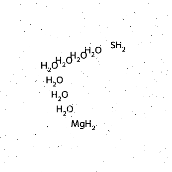 O.O.O.O.O.O.O.S.[MgH2]